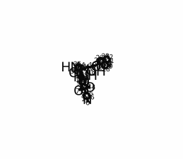 CN1CCC(N2C(=O)c3cc4nc(-c5c(NC[C@@H](O)COc6ccc7c8c6CCCN8CCC7)cc[nH]c5=O)[nH]c4cc3C2=O)CC1